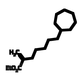 C=C(CCCCCC1CCCCCC1)C(=O)OCC